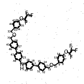 FC(F)=C(F)Oc1ccc(COCc2ccc(-c3ccc(Nc4ccc(-c5ccc(COCc6ccc(OC(F)=C(F)F)cc6)cc5)cc4)cc3)cc2)cc1